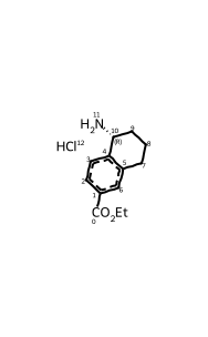 CCOC(=O)c1ccc2c(c1)CCC[C@H]2N.Cl